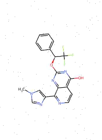 Cn1cnc(-c2nccc3c(O)nc(O[C@@H](c4ccccc4)C(F)(F)F)nc23)c1